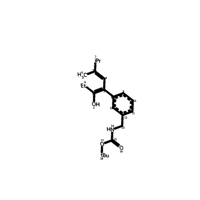 CC/C(O)=C(\C=C(/C)C(C)C)c1cccc(CNC(=O)OC(C)(C)C)c1